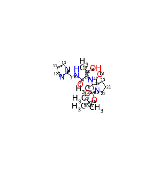 CC1N([C@H](C(=O)NCc2ncccn2)[C@@H](C)O)C(=O)C12CCCN2C(=O)OC(C)(C)C